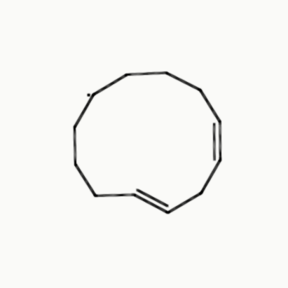 [CH]1CCC/C=C\C/C=C/CCC1